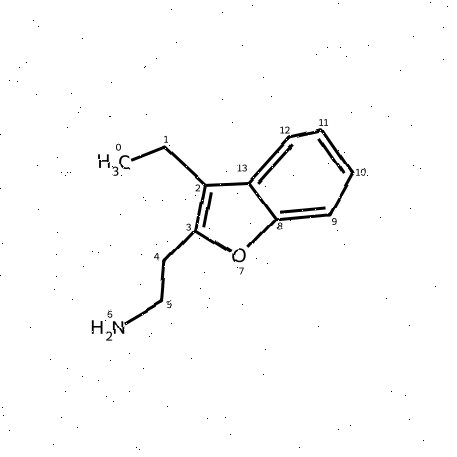 CCc1c(CCN)oc2ccccc12